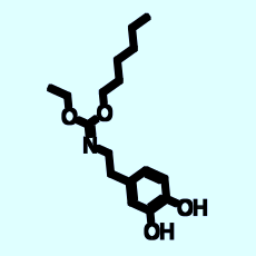 CCCCCCOC(=NCCc1ccc(O)c(O)c1)OCC